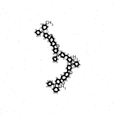 Cc1ccc(N(c2ccccc2)c2ccc3c(c2)oc2cc4cc5oc6cc(N(c7ccccc7)c7ccc(Cc8ccc(N(c9ccc%10c(c9)oc9cc%11cc%12oc%13cc(N(c%14ccccc%14)c%14ccccc%14C)ccc%13c%12cc%11cc9%10)c9ccccc9C)cc8)cc7)ccc6c5cc4cc23)cc1